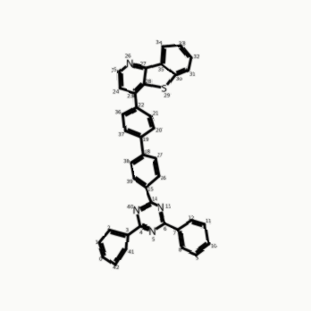 c1ccc(-c2nc(-c3ccccc3)nc(-c3ccc(-c4ccc(-c5ccnc6c5sc5ccccc56)cc4)cc3)n2)cc1